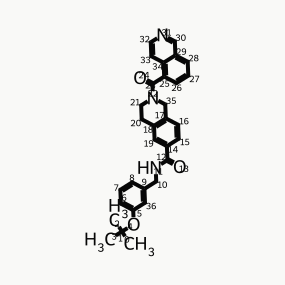 CC(C)(C)Oc1cccc(CNC(=O)c2ccc3c(c2)CCN(C(=O)c2cccc4cnccc24)C3)c1